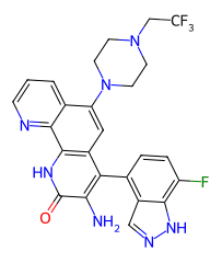 Nc1c(-c2ccc(F)c3[nH]ncc23)c2cc(N3CCN(CC(F)(F)F)CC3)c3cccnc3c2[nH]c1=O